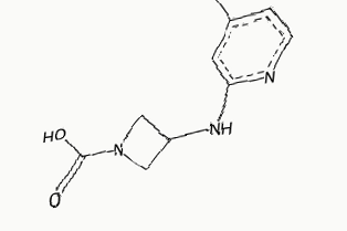 Cc1ccnc(NC2CN(C(=O)O)C2)c1